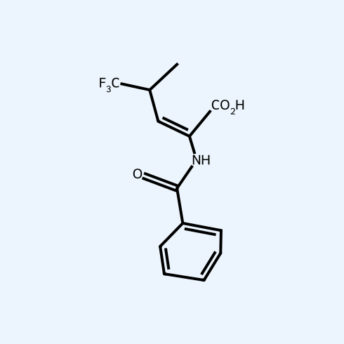 CC(C=C(NC(=O)c1ccccc1)C(=O)O)C(F)(F)F